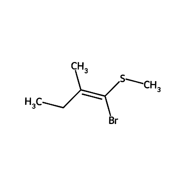 CC/C(C)=C(\Br)SC